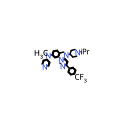 CC(C)N1CCC(N(Cc2ccc(N(C)c3ccncc3)cc2)c2cc(-c3ccc(C(F)(F)F)cc3)ncn2)CC1